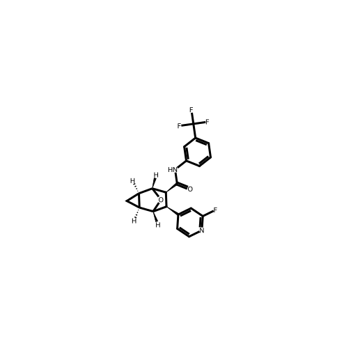 O=C(Nc1cccc(C(F)(F)F)c1)[C@@H]1[C@@H]2O[C@@H]([C@H]3C[C@H]32)[C@@H]1c1ccnc(F)c1